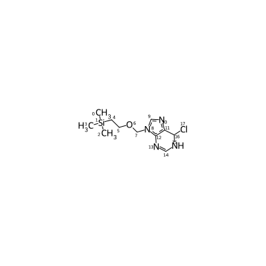 C[Si](C)(C)CCOCn1cnc2c1N=CNC2Cl